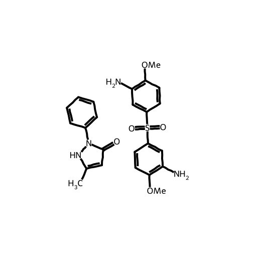 COc1ccc(S(=O)(=O)c2ccc(OC)c(N)c2)cc1N.Cc1cc(=O)n(-c2ccccc2)[nH]1